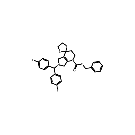 O=C(OCc1ccccc1)N1CCC2(OCCO2)C2=C1CN(C(c1ccc(F)cc1)c1ccc(F)cc1)C2